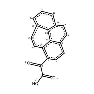 O=C(O)C(=O)c1ccc2ccc3cccc4ccc1c2c34